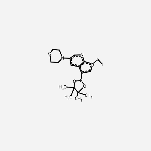 CC1(C)OB(c2cn(SI)c3ncc(N4CCOCC4)cc23)OC1(C)C